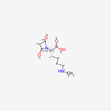 CNCCCC[C@@H](C(=O)O)N1C(=O)CC1=O